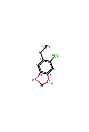 CC(C)Cc1cc2c(cc1Cl)OCO2